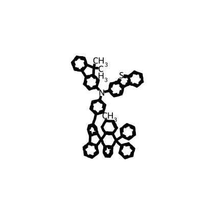 CC1C=CC2=C(C1)C1(c3ccccc3-c3ccc(-c4ccc(N(c5ccc6c(c5)C(C)(C)c5ccccc5-6)c5ccc6c(c5)sc5ccccc56)cc4)cc31)c1ccccc1C2(c1ccccc1)c1ccccc1